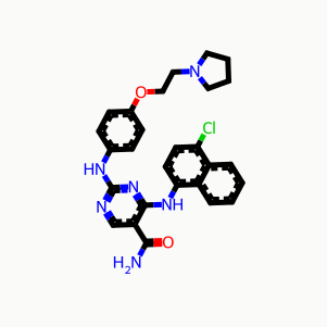 NC(=O)c1cnc(Nc2ccc(OCCN3CCCC3)cc2)nc1Nc1ccc(Cl)c2ccccc12